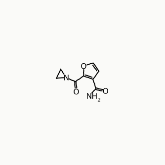 NC(=O)c1ccoc1C(=O)N1CC1